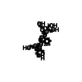 O=C(OCC(OCCO)(OCCO)OCCO)C1CCCCC1C(=O)OCC(OCCO)(OCCO)OCCO